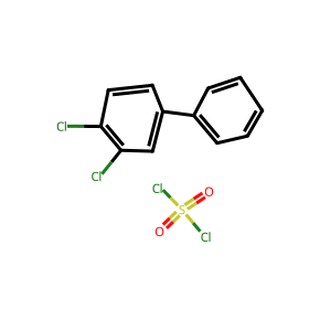 Clc1ccc(-c2ccccc2)cc1Cl.O=S(=O)(Cl)Cl